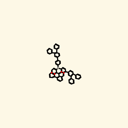 c1ccc(-c2ccc(-c3ccc(N(c4ccc(-c5ccc(-c6ccccc6)c(-c6ccccc6)c5)cc4)c4ccccc4-c4cccc5cccc(-c6ccccc6)c45)cc3)cc2-c2ccccc2)cc1